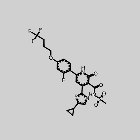 CS(=O)(=O)NC(=O)c1c(-c2ncc(C3CC3)s2)cc(-c2ccc(OCCCC(F)(F)F)cc2F)[nH]c1=O